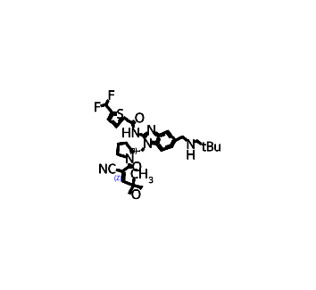 CC(C)(C)CNCc1ccc2c(c1)nc(NC(=O)c1ccc(C(F)F)s1)n2C[C@H]1CCCN1C(=O)/C(C#N)=C\C1(C)COC1